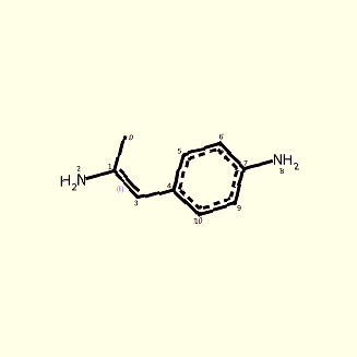 C/C(N)=C\c1ccc(N)cc1